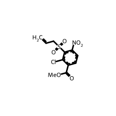 C=CCS(=O)(=O)c1c([N+](=O)[O-])ccc(C(=O)OC)c1Cl